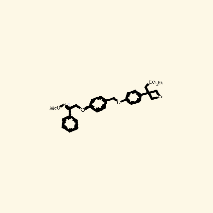 CCOC(=O)CC1(c2ccc(OCc3ccc(OC/C(=N/OC)c4ccccc4)cc3)cc2)COC1